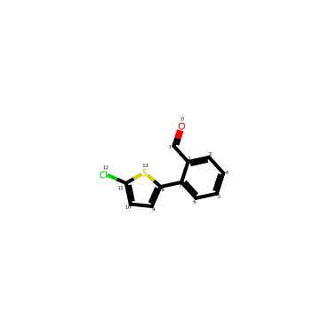 O=Cc1ccccc1-c1ccc(Cl)s1